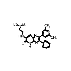 CCN(CC)CCNc1cc2nc(-c3cc(C)nc(C(F)(F)F)c3)c(-c3ccccc3)nc2[nH]c1=O